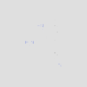 N#Cc1cc[nH]c1N